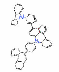 c1ccc(-c2ccccc2N(c2ccc(-c3cccc(-n4c5ccccc5c5ccccc54)c3)cc2)c2ccc(-c3cc4ccccc4c4ccccc34)cc2)cc1